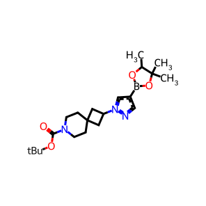 CC1OB(c2cnn(C3CC4(CCN(C(=O)OC(C)(C)C)CC4)C3)c2)OC1(C)C